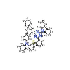 c1ccc(-c2cccc(-c3nc(-c4cccc5c4sc4c5ccc5c6ccccc6n(-c6ccccc6)c54)nc(-n4c5ccccc5c5ccccc54)n3)c2)cc1